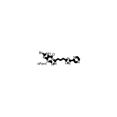 CCCCCn1c2nc(Br)[nH]c2c(=O)n2c(CCCc3nc(-c4cnccn4)no3)nnc12